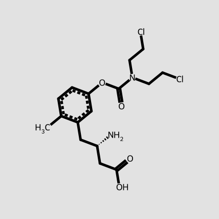 Cc1ccc(OC(=O)N(CCCl)CCCl)cc1C[C@H](N)CC(=O)O